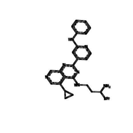 CCCC(N)CCNc1nc(-c2ccnc(Nc3ccccc3)c2)nc2cncc(C3CC3)c12